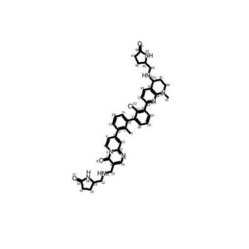 Cc1c(-c2ccn3c(=O)c(CNCC4CCC(=O)N4)cnc3c2)cccc1-c1cccc(-c2ccc3c(n2)N(C)CCC3NCC2CCC(=O)N2)c1Cl